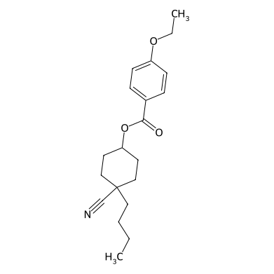 CCCCC1(C#N)CCC(OC(=O)c2ccc(OCC)cc2)CC1